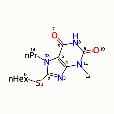 CCCCCCSc1nc2c(c(=O)[nH]c(=O)n2C)n1CCC